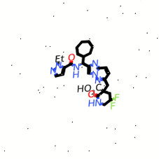 CCn1nccc1C(=O)N[C@H](c1cn2nc(CC3(C(=O)O)CC(F)(F)CNC3=O)ccc2n1)C1CCCCCC1